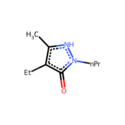 CCCn1[nH]c(C)c(CC)c1=O